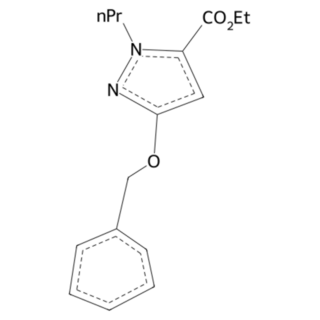 CCCn1nc(OCc2ccccc2)cc1C(=O)OCC